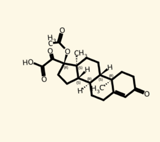 CC(=O)O[C@]1(C(=O)C(=O)O)CC[C@H]2[C@@H]3CCC4=CC(=O)CC[C@]4(C)[C@H]3CC[C@@]21C